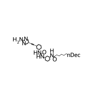 CCCCCCCCCCCCCCCC(=O)Nc1cccc(NC(=O)Nc2cccc(C#Cc3cnc(N)nc3)c2)c1